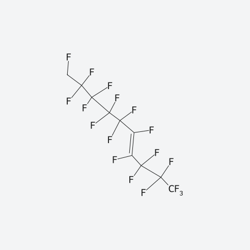 FCC(F)(F)C(F)(F)C(F)(F)C(F)(F)C(F)=C(F)C(F)(F)C(F)(F)C(F)(F)F